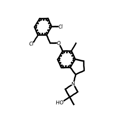 Cc1c(OCc2c(Cl)cccc2Cl)ccc2c1CCC2N1CC(C)(O)C1